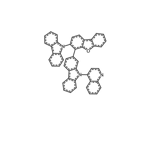 c1ccc2c(-n3c4ccccc4c4ccc(-c5c(-n6c7ccccc7c7ccccc76)ccc6c5oc5ccccc56)cc43)ccnc2c1